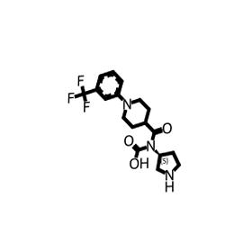 O=C(O)N(C(=O)C1CCN(c2cccc(C(F)(F)F)c2)CC1)[C@H]1CCNC1